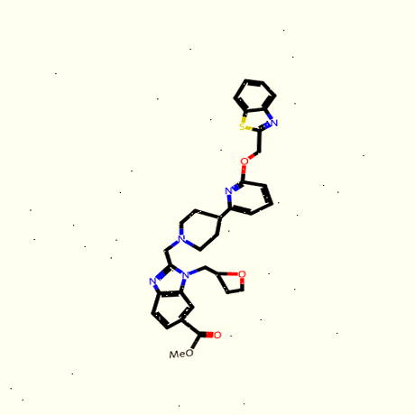 COC(=O)c1ccc2nc(CN3CCC(c4cccc(OCc5nc6ccccc6s5)n4)CC3)n(CC3CCO3)c2c1